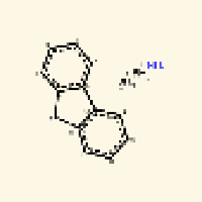 B.B.N.c1ccc2c(c1)Cc1ccccc1-2